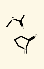 COC(C)=O.O=C1CCCN1